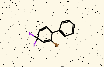 BrC1=CC(I)(I)C=CC1c1ccccc1